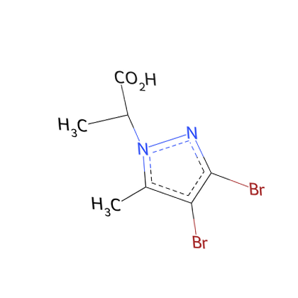 Cc1c(Br)c(Br)nn1C(C)C(=O)O